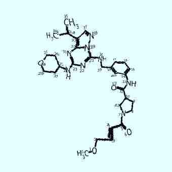 COC/C=C/C(=O)N1CCC(C(=O)Nc2cccc(CNc3nc(NC4CCOCC4)nc4c(C(C)C)cnn34)c2)C1